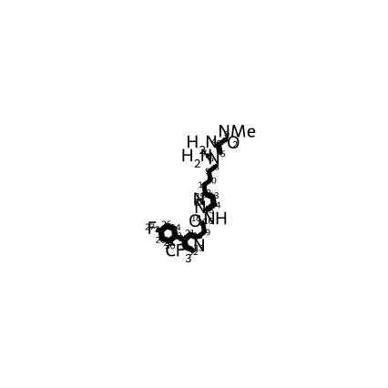 CNC(=O)/C(N)=C/N(N)CCCCc1ccc(NC(=O)Cc2cc(-c3ccc(F)cc3C(F)(F)F)ccn2)nn1